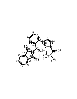 CCN(C)C(=O)c1ncn(-c2nccnc2C(C)N2C(=O)c3ccccc3C2=O)n1